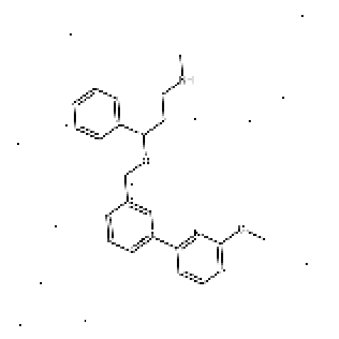 CNCCC(OCc1cccc(-c2ccnc(OC)n2)c1)c1ccccc1